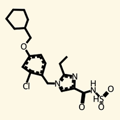 CCc1nc(C(=O)N[SH](=O)=O)cn1Cc1ccc(OCC2CCCCC2)cc1Cl